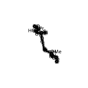 COc1cc2c(Nc3ccc(Oc4ccccc4)cc3)c(C#N)cnc2cc1OCCCN1CCN(CCCCCCOCCOCCOc2cc(-c3scnc3C)ccc2CNC(=O)[C@@H]2C[C@@H](O)CC2C(=O)[C@H](C(C)C)N2Cc3ccccc3C2=O)CC1